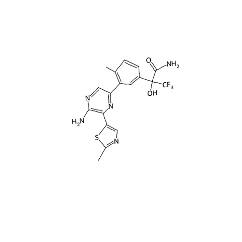 Cc1ncc(-c2nc(-c3cc(C(O)(C(N)=O)C(F)(F)F)ccc3C)cnc2N)s1